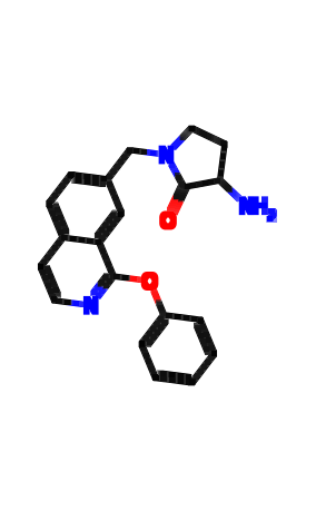 NC1CCN(Cc2ccc3ccnc(Oc4ccccc4)c3c2)C1=O